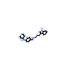 c1ccc2c(CCCNCc3ccc(Nc4ccncc4)cc3)c[nH]c2c1